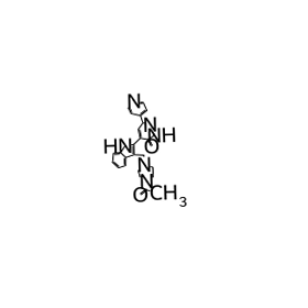 CC(=O)N1CCN(Cc2c(-c3cc(-c4ccncc4)n[nH]c3=O)[nH]c3ccccc23)CC1